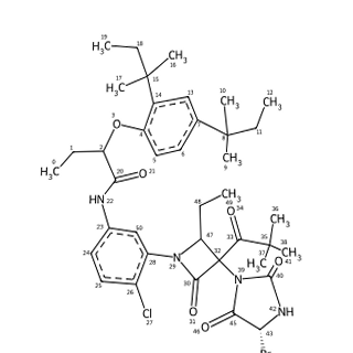 CCC(Oc1ccc(C(C)(C)CC)cc1C(C)(C)CC)C(=O)Nc1ccc(Cl)c(N2C(=O)C(C(=O)C(C)(C)C)(N3C(=O)N[C@H](Br)C3=O)C2CC)c1